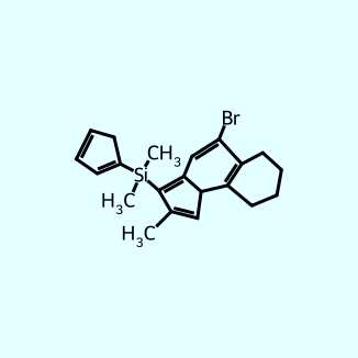 CC1=CC2C(=C1[Si](C)(C)C1=CC=CC1)C=C(Br)C1=C2CCCC1